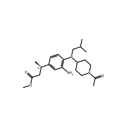 COC(=O)C[C@@H](C)c1ccc(N(CC(C)C)C2CCN(C(C)=O)CC2)c(N)c1